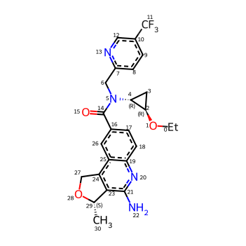 CCO[C@@H]1C[C@H]1N(Cc1ccc(C(F)(F)F)cn1)C(=O)c1ccc2nc(N)c3c(c2c1)CO[C@H]3C